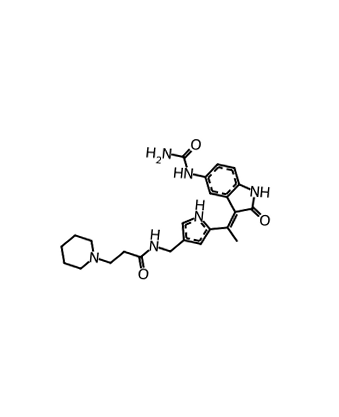 CC(=C1C(=O)Nc2ccc(NC(N)=O)cc21)c1cc(CNC(=O)CCN2CCCCC2)c[nH]1